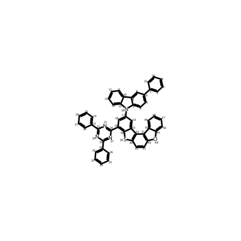 c1ccc(-c2ccc3c(c2)c2ccccc2n3-c2cc(-c3nc(-c4ccccc4)nc(-c4ccccc4)n3)c3sc4ccc5oc6ccccc6c5c4c3c2)cc1